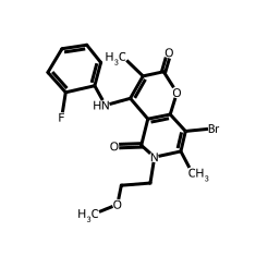 COCCn1c(C)c(Br)c2oc(=O)c(C)c(Nc3ccccc3F)c2c1=O